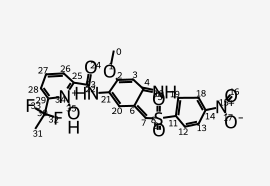 COC1=CC(=N)/C(=C\S(=O)(=O)c2ccc([N+](=O)[O-])cc2)C=C1NC(=O)c1cccc(C(C)(F)F)[n+]1O